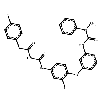 CN(C(=O)Nc1cc(Oc2ccc(NC(=O)NC(=O)Cc3ccc(F)cc3)cc2F)ccn1)c1ccccc1